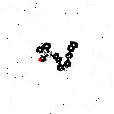 C1=CCC(c2nc(-c3ccc4ccc(-c5cccc6oc7ccc(-c8ccc(-c9ccc%10ccccc%10c9)cc8)cc7c56)cc4c3)nc(C3CC=Cc4sc5ccccc5c43)n2)C=C1